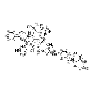 Cc1nc([C@@H]2O[C@@H]3COC(c4ccccc4)O[C@@H]3[C@H](N(N=N)C(C)Cl)[C@H]2OCC(=O)N2CC(ONc3ccc4c(c3)CN(C3CCC(=O)NC3=O)C4=O)C2)n(-c2cc(Cl)ccc2C(F)(F)F)n1